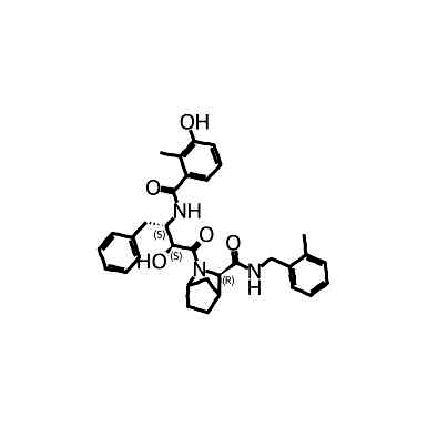 Cc1ccccc1CNC(=O)[C@H]1C2CCC(C2)N1C(=O)[C@@H](O)[C@H](Cc1ccccc1)NC(=O)c1cccc(O)c1C